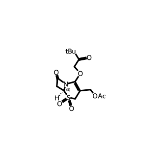 CC(=O)OCC1=C(OCC(=O)C(C)(C)C)N2C(=O)C[C@@H]2S(=O)(=O)C1